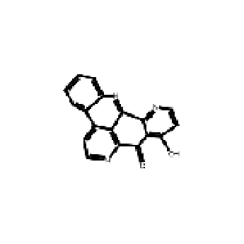 O=C1c2c(O)ccnc2-c2nc3ccccc3c3ccnc1c23